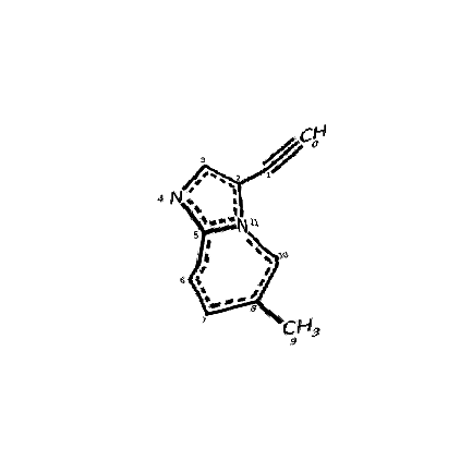 C#Cc1cnc2ccc(C)cn12